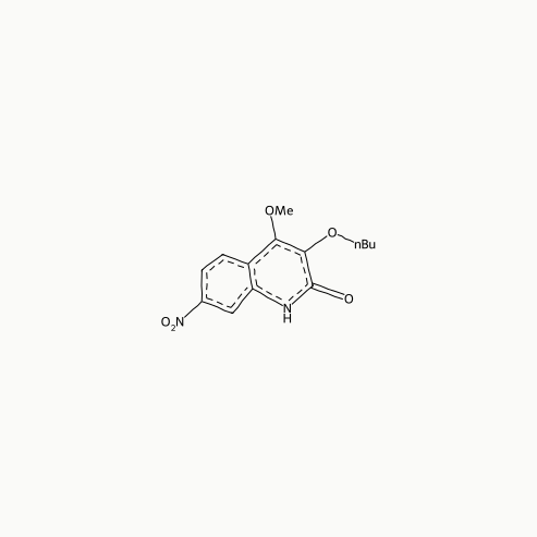 CCCCOc1c(OC)c2ccc([N+](=O)[O-])cc2[nH]c1=O